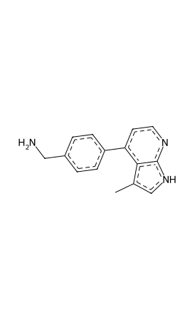 Cc1c[nH]c2nccc(-c3ccc(CN)cc3)c12